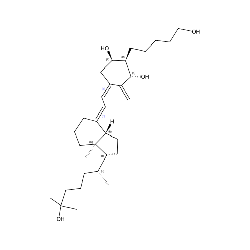 C=C1/C(=C\C=C2/CCC[C@]3(C)[C@@H]([C@H](C)CCCC(C)(C)O)CC[C@@H]23)C[C@@H](O)[C@@H](CCCCCO)[C@@H]1O